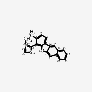 Cc1ccc2c(oc3cc4ccccc4cc32)c1-c1scc[n+]1C